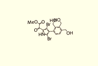 COC(=O)C(=O)c1[nH]c(Br)c(-c2ccc(CO)c(CO)c2CO)c1Br